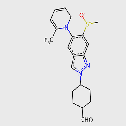 C[S+]([O-])c1cc2nn(C3CCC(C=O)CC3)cc2cc1N1CC=CC=C1C(F)(F)F